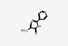 O=C(O)c1cnc(-c2ccncc2)[nH]c1=O